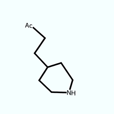 CC(=O)CCC1CCNCC1